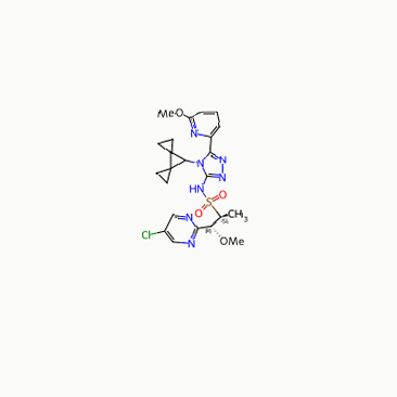 COc1cccc(-c2nnc(NS(=O)(=O)[C@@H](C)[C@H](OC)c3ncc(Cl)cn3)n2C2C3(CC3)C23CC3)n1